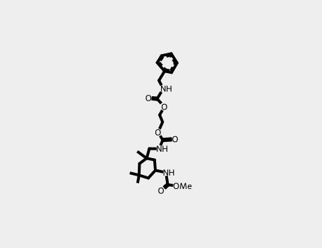 COC(=O)NC1CC(C)(C)CC(C)(CNC(=O)OCCOC(=O)NCc2ccccc2)C1